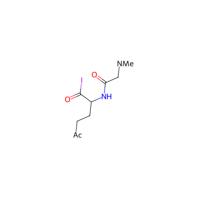 CNCC(=O)NC(CCC(C)=O)C(=O)I